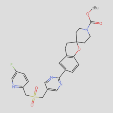 CC(C)(C)OC(=O)N1CCC2(CCc3cc(-c4ncc(CS(=O)(=O)Cc5ccc(F)cn5)cn4)ccc3O2)CC1